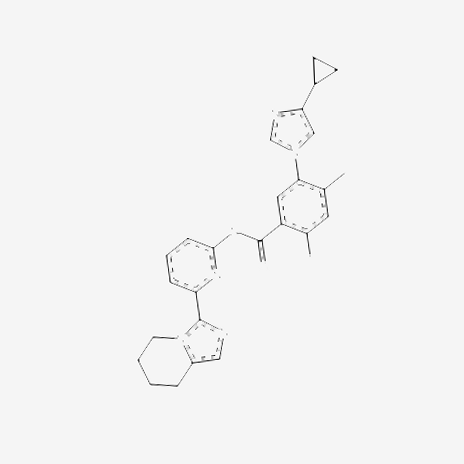 Cc1cc(F)c(C(=O)Nc2cccc(-c3ncc4n3CCCC4)n2)cc1-n1cnc(C2CC2)c1